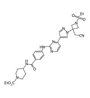 CCOC(=O)N1CCC(NC(=O)c2ccc(Nc3nccc(-c4cnn(C5(CC#N)CN(S(=O)(=O)CC)C5)c4)n3)cc2)CC1